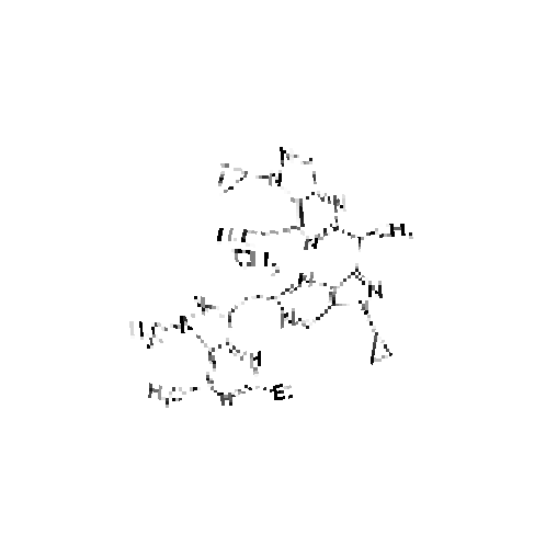 CCc1nc(C)c2c(n1)c([C@H](C)c1ncc3c(n1)c([C@H](C)c1nc(C)c4c(cnn4C4CC4)n1)nn3C1CC1)nn2C